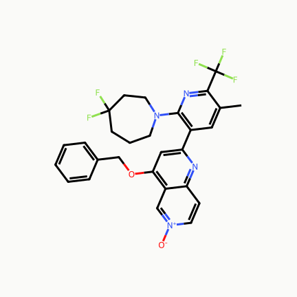 Cc1cc(-c2cc(OCc3ccccc3)c3c[n+]([O-])ccc3n2)c(N2CCCC(F)(F)CC2)nc1C(F)(F)F